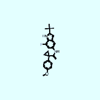 C=C(Nc1cc(F)c2[nH]c(C(C)(C)C)cc2c1)C1(c2ccc(OC)cc2)CC1